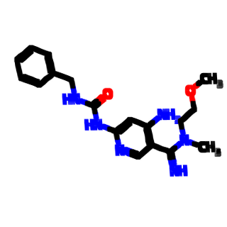 COCCN(C)C(=N)c1cnc(NC(=O)NCc2ccccc2)cc1N